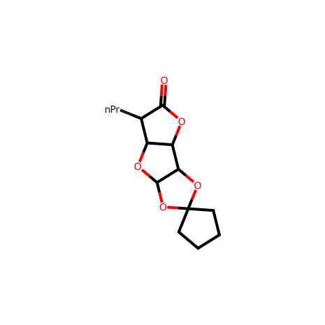 CCCC1C(=O)OC2C3OC4(CCCC4)OC3OC12